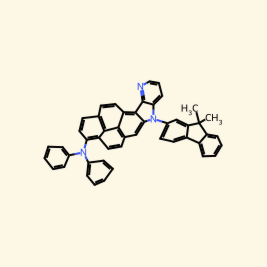 CC1(C)c2ccccc2-c2ccc(-n3c4cccnc4c4c5ccc6ccc(N(c7ccccc7)c7ccccc7)c7ccc(cc43)c5c67)cc21